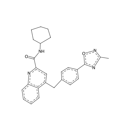 Cc1noc(-c2ccc(Cc3cc(C(=O)NC4CCCCC4)nc4ccccc34)cc2)n1